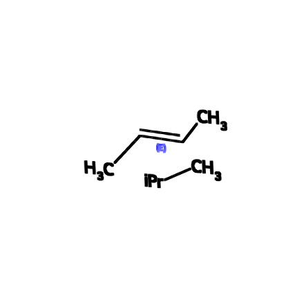 C/C=C/C.CC(C)C